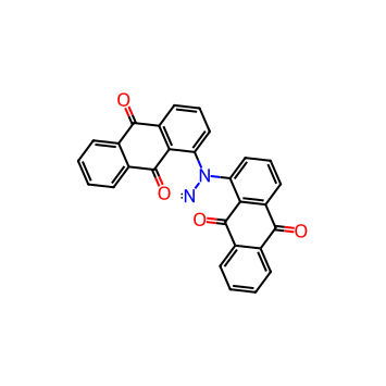 [N]N(c1cccc2c1C(=O)c1ccccc1C2=O)c1cccc2c1C(=O)c1ccccc1C2=O